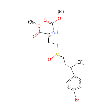 CC(C)(C)OC(=O)N[C@@H](CC[S+]([O-])CCC(c1ccc(Br)cc1)C(F)(F)F)C(=O)OC(C)(C)C